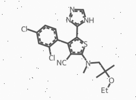 CCOC(C)(C)CN(C)c1sc(-c2nnc[nH]2)c(-c2ccc(Cl)cc2Cl)c1C#N